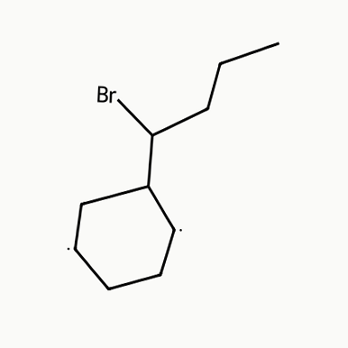 CCCC(Br)C1[CH]CC[CH]C1